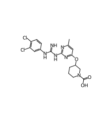 Cc1cc(OC2CCCN(C(=O)O)C2)nc(NC(=N)Nc2ccc(Cl)c(Cl)c2)n1